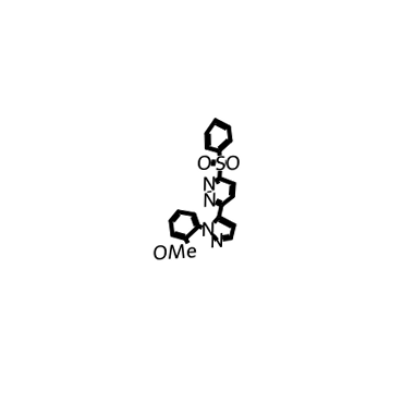 COc1ccccc1-n1nccc1-c1ccc(S(=O)(=O)c2ccccc2)nn1